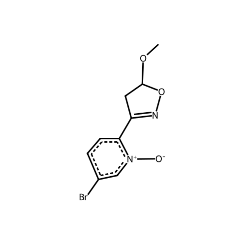 COC1CC(c2ccc(Br)c[n+]2[O-])=NO1